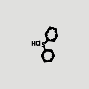 Cl.c1ccc(Sc2ccccc2)cc1